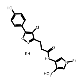 CCn1cc(NC(=O)CCc2noc(-c3ccc(O)cc3)c2Cl)c(C(=O)O)c1.[KH]